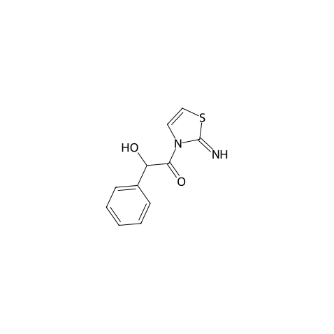 N=c1sccn1C(=O)C(O)c1ccccc1